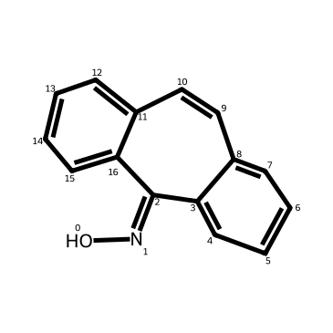 ON=c1c2ccccc2ccc2ccccc12